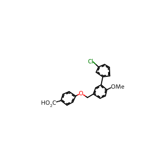 COc1ccc(COc2ccc(C(=O)O)cc2)cc1-c1cccc(Cl)c1